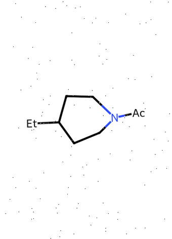 [CH2]C(=O)N1CCC(CC)CC1